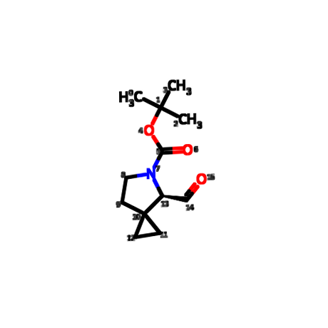 CC(C)(C)OC(=O)N1CCC2(CC2)[C@@H]1C=O